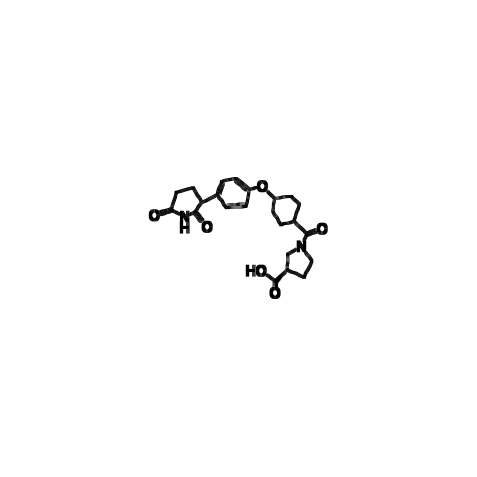 O=C1CCC(c2ccc(OC3CCC(C(=O)N4CC[C@@H](C(=O)O)C4)CC3)cc2)C(=O)N1